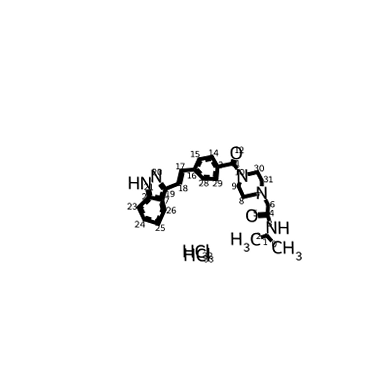 CC(C)NC(=O)CN1CCN(C(=O)c2ccc(C=Cc3n[nH]c4ccccc34)cc2)CC1.Cl.Cl